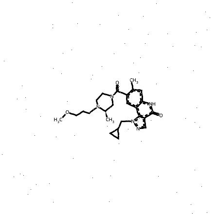 COCCCN1CCN(C(=O)c2cc3c(cc2C)[nH]c(=O)c2cnn(CC4CC4)c23)C[C@H]1C